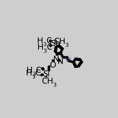 CC[Si](CC)(CC)CCOCn1nc(/C=C/c2ccccc2)c2cc[c]([Sn]([CH3])([CH3])[CH3])cc21